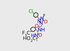 CC(C)(NC(=O)C(NC(=O)Cn1nc(-c2ccc(Cl)cc2)n(C2CC2)c1=O)c1cccc(C(F)(F)F)c1)C(=O)O